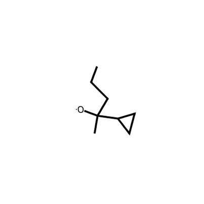 CCCC(C)([O])C1CC1